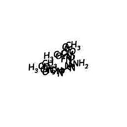 COc1cc(OC)c(F)c(-n2nc(-c3nc(-c4cnn(C5CCN(C(=O)OC(C)(C)C)CC5)c4)cnc3N)ccc2=O)c1F